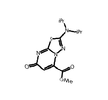 COC(=O)c1cc(=O)nc2sc(N(C(C)C)C(C)C)nn12